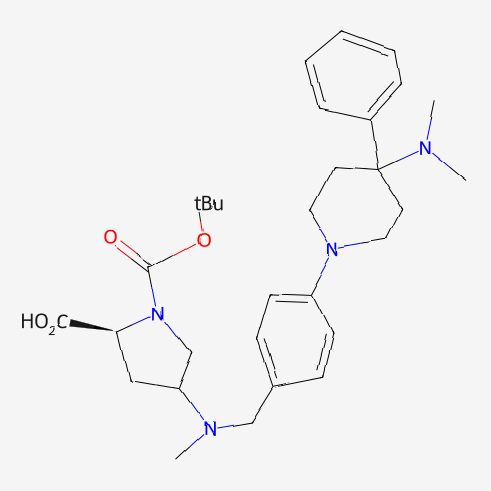 CN(Cc1ccc(N2CCC(c3ccccc3)(N(C)C)CC2)cc1)C1C[C@@H](C(=O)O)N(C(=O)OC(C)(C)C)C1